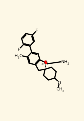 COC1CCC2(CC1)Cc1cc(C)c(-c3cc(F)ccc3F)cc1[C@@]21N=CC(N)=N1